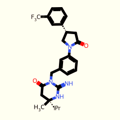 CC(C)[C@]1(C)CC(=O)N(Cc2cccc(N3C[C@H](c4cccc(C(F)(F)F)c4)CC3=O)c2)C(=N)N1